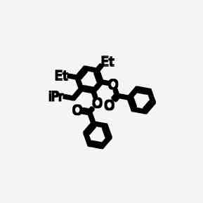 CCc1cc(CC)c(OC(=O)c2ccccc2)c(OC(=O)c2ccccc2)c1CC(C)C